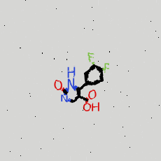 O=C(O)c1cnc(=O)[nH]c1-c1ccc(F)c(F)c1